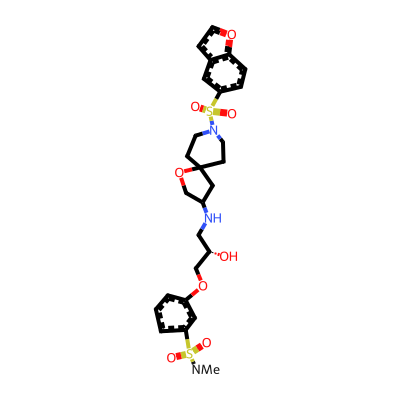 CNS(=O)(=O)c1cccc(OC[C@@H](O)CNC2COC3(CCN(S(=O)(=O)c4ccc5occc5c4)CC3)C2)c1